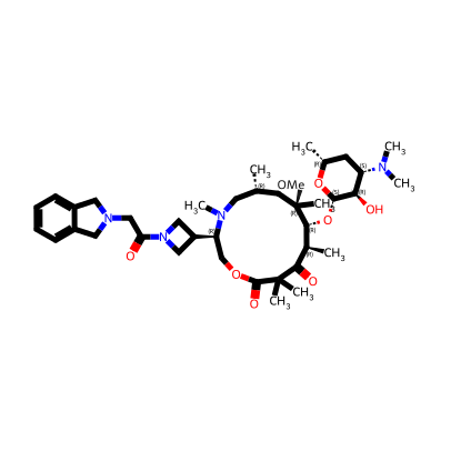 CO[C@]1(C)C[C@@H](C)CN(C)[C@H](C2CN(C(=O)CN3Cc4ccccc4C3)C2)COC(=O)C(C)(C)C(=O)[C@H](C)[C@H]1O[C@@H]1O[C@H](C)C[C@H](N(C)C)[C@H]1O